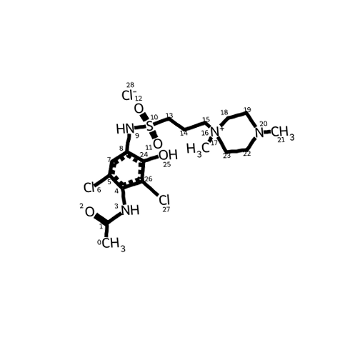 CC(=O)Nc1c(Cl)cc(NS(=O)(=O)CCC[N+]2(C)CCN(C)CC2)c(O)c1Cl.[Cl-]